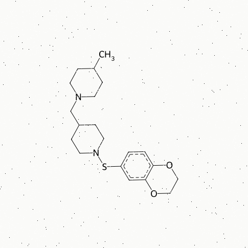 CC1CCN(CC2CCN(Sc3ccc4c(c3)OCCO4)CC2)CC1